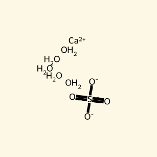 O.O.O.O.O.O=S(=O)([O-])[O-].[Ca+2]